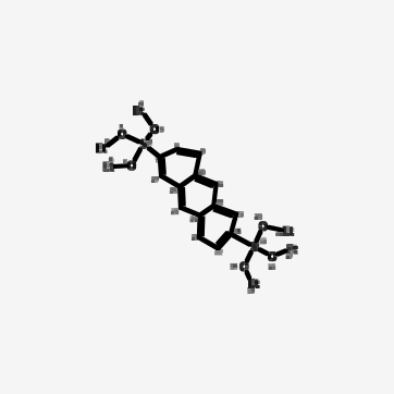 CCO[Si](OCC)(OCC)c1ccc2cc3cc([Si](OCC)(OCC)OCC)ccc3cc2c1